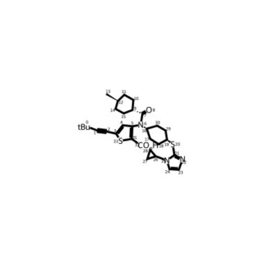 CC(C)(C)C#Cc1cc(N(C(=O)[C@H]2CC[C@H](C)CC2)[C@H]2CC[C@H](Sc3nccn3C3CC3)CC2)c(C(=O)O)s1